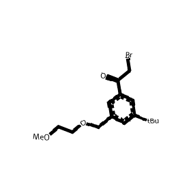 COCCOCc1cc(C(=O)CBr)cc(C(C)(C)C)c1